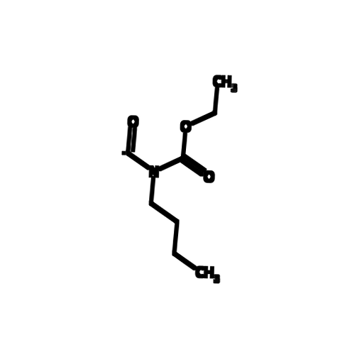 CCCCN([C]=O)C(=O)OCC